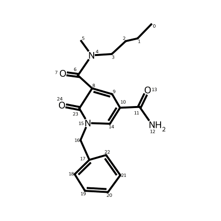 CCCCN(C)C(=O)c1cc(C(N)=O)cn(Cc2ccccc2)c1=O